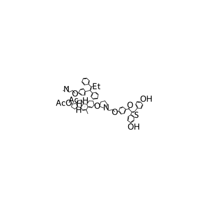 CC(=O)O[C@]1(C(C)=O)CC[C@H]2[C@@H]3C=C(C)C4=CC(=O)CC[C@]4(C)[C@H]3CC[C@@]21C.CC/C(=C(\c1ccccc1)c1ccc(OCCN(C)C)cc1)c1ccccc1.O=C(c1ccc(OCCN2CCCCC2)cc1)c1c(-c2ccc(O)cc2)sc2cc(O)ccc12